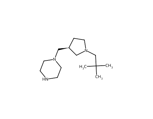 CC(C)(C)CN1CC[C@H](CN2CCNCC2)C1